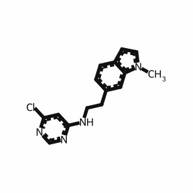 Cn1ccc2ccc(CCNc3cc(Cl)ncn3)cc21